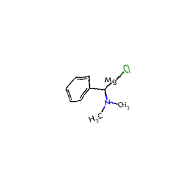 CN(C)[CH]([Mg][Cl])c1ccccc1